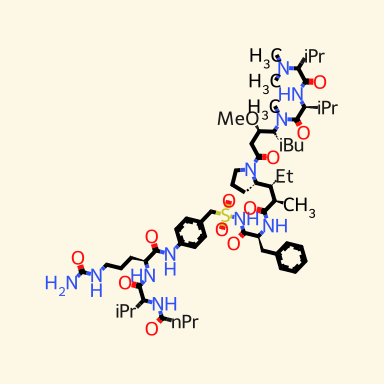 CCCC(=O)NC(C(=O)N[C@@H](CCCNC(N)=O)C(=O)Nc1ccc(CS(=O)(=O)NC(=O)[C@H](Cc2ccccc2)NC(=O)[C@H](C)[C@@H](CC)[C@@H]2CCCN2C(=O)C[C@@H](OC)C([C@@H](C)CC)N(C)C(=O)[C@@H](NC(=O)C(C(C)C)N(C)C)C(C)C)cc1)C(C)C